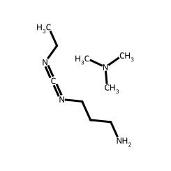 CCN=C=NCCCN.CN(C)C